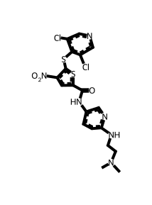 CN(C)CCNc1ccc(NC(=O)c2cc([N+](=O)[O-])c(Sc3c(Cl)cncc3Cl)s2)cn1